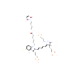 CC1=NN(CCCS(=O)(=O)O)\C(=C/C=C/C=C/C2=[N+](CCCCCC(=O)NCCCCN3C(=O)C=CC3=O)c3ccc(S(=O)(=O)O)cc3C2(C)CCCS(=O)(=O)O)C1(C)CCCS(=O)(=O)O